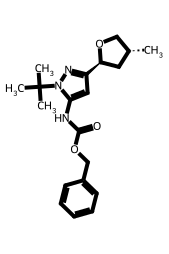 C[C@H]1CO[C@H](c2cc(NC(=O)OCc3ccccc3)n(C(C)(C)C)n2)C1